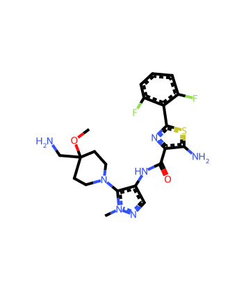 COC1(CN)CCN(c2c(NC(=O)c3nc(-c4c(F)cccc4F)sc3N)cnn2C)CC1